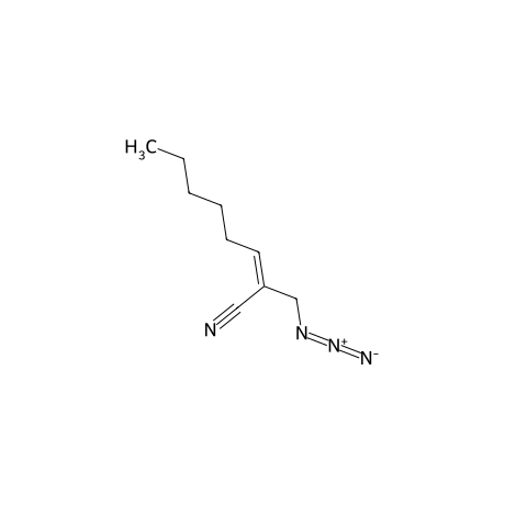 CCCCCC=C(C#N)CN=[N+]=[N-]